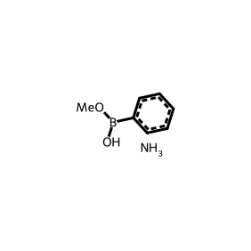 COB(O)c1ccccc1.N